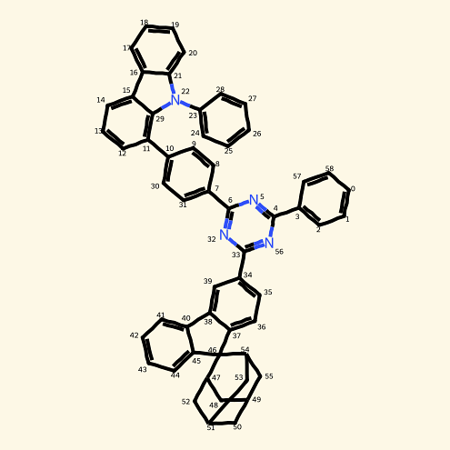 c1ccc(-c2nc(-c3ccc(-c4cccc5c6ccccc6n(-c6ccccc6)c45)cc3)nc(-c3ccc4c(c3)-c3ccccc3C43C4CC5CC(C4)CC3C5)n2)cc1